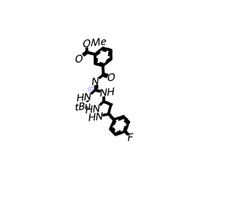 COC(=O)c1cccc(C(=O)/N=C(\NC2CC(c3ccc(F)cc3)NN2)NC(C)(C)C)c1